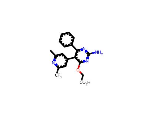 Cc1cc(-c2c(OCC(=O)O)nc(N)nc2-c2ccccc2)cc(C(F)(F)F)n1